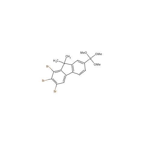 CO[Si](OC)(OC)c1ccc2c(c1)C(C)(C)c1c-2cc(Br)c(Br)c1Br